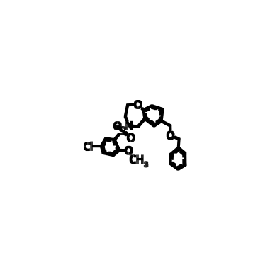 COc1ccc(Cl)cc1S(=O)(=O)N1CCOc2ccc(COCc3ccccc3)cc2C1